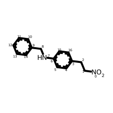 O=[N+]([O-])CCc1ccc(NCc2ccccc2)cc1